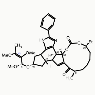 CC[C@H]1CCCC[C@@H](C)C(=O)C2=CC3[C@@H]4C[C@H](O[C@H](OC)/C(OC)=C(/C)OC)CC4c4[nH]c(-c5ccccc5)nc4[C@H]3[C@@H]2CC(=O)O1